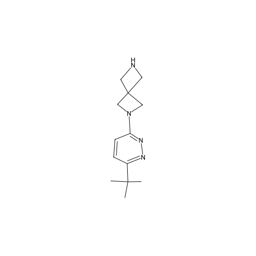 CC(C)(C)c1ccc(N2CC3(CNC3)C2)nn1